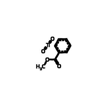 COC(=O)c1ccccc1.[O]=[Ti]=[O]